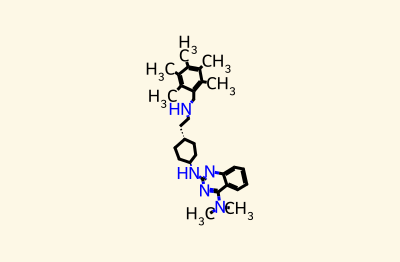 Cc1c(C)c(C)c(CNCC[C@H]2CC[C@@H](Nc3nc(N(C)C)c4ccccc4n3)CC2)c(C)c1C